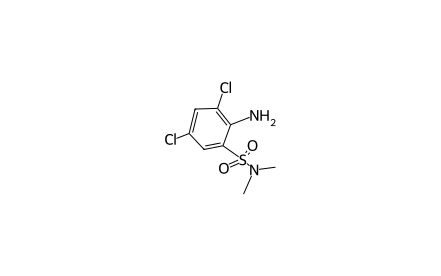 CN(C)S(=O)(=O)c1cc(Cl)cc(Cl)c1N